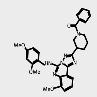 COc1ccc(CNc2nc3c(OC)cccc3c3nc(C4CCCN(C(=O)c5ccccc5)C4)nn23)c(OC)c1